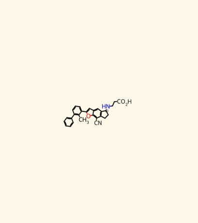 Cc1c(-c2ccccc2)cccc1-c1cc2cc3c(c(C#N)c2o1)CC[C@H]3NCCC(=O)O